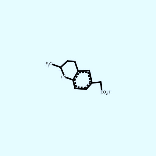 O=C(O)Cc1ccc2c(c1)CCC(C(F)(F)F)N2